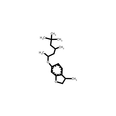 CC(CC(C)Oc1ccc2c(c1)OCC2C)CC(C)(C)C